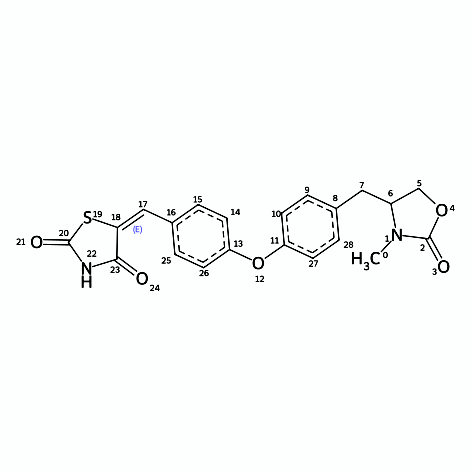 CN1C(=O)OCC1Cc1ccc(Oc2ccc(/C=C3/SC(=O)NC3=O)cc2)cc1